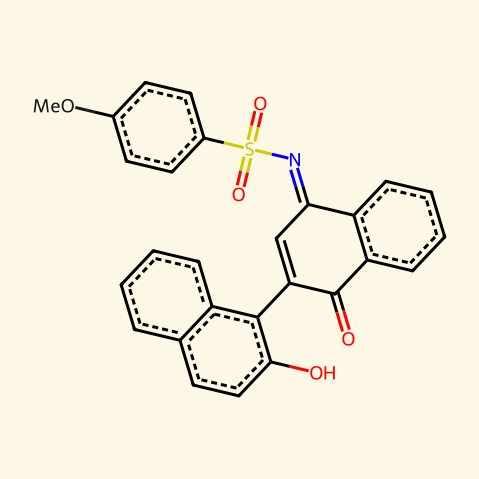 COc1ccc(S(=O)(=O)/N=C2\C=C(c3c(O)ccc4ccccc34)C(=O)c3ccccc32)cc1